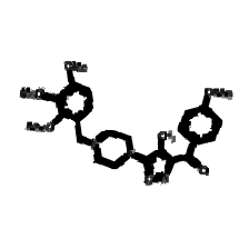 COc1ccc(C(=O)c2noc(N3CCN(Cc4ccc(OC)c(OC)c4OC)CC3)c2C)cc1